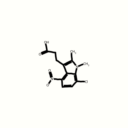 Cc1c(CCC(=O)O)c2c([N+](=O)[O-])ccc(Cl)c2n1C